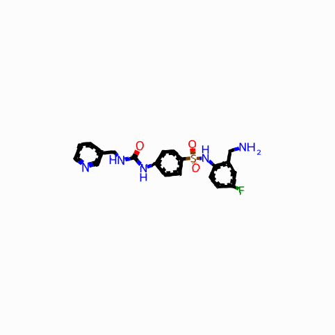 NCc1cc(F)ccc1NS(=O)(=O)c1ccc(NC(=O)NCc2cccnc2)cc1